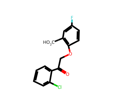 O=C(COc1ccc(F)cc1C(=O)O)c1ccccc1Cl